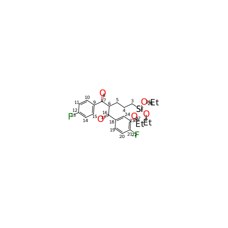 CCO[Si](CCCC(C(=O)c1ccc(F)cc1)C(=O)c1ccc(F)cc1)(OCC)OCC